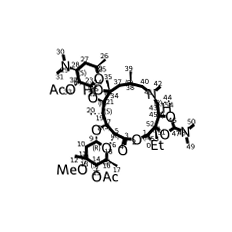 CC[C@H]1OC(=O)[C@H](C)[C@@H](O[C@H]2C[C@@](C)(OC)[C@@H](OC(C)=O)[C@H](C)O2)[C@H](C)[C@@H](O[C@@H]2O[C@H](C)C[C@H](N(C)C)[C@H]2OC(C)=O)[C@](C)(O)C[C@@H](C)CN(C)[C@H](C)[C@H]2OC(N(C)C)O[C@@]21C